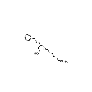 CCCCCCCCCCCCCCCCOCC(CCO)COCc1ccccc1